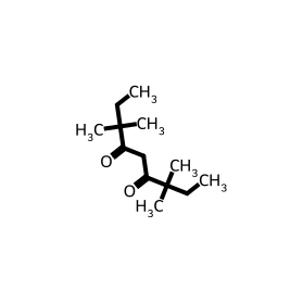 CCC(C)(C)C(=O)CC(=O)C(C)(C)CC